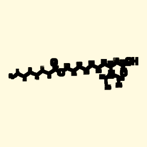 CCCCCCCC(=O)OCCCCCCCC(CC(=O)O)N(CC)CC